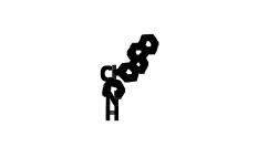 C1=CC=CNC=C1.Clc1ccc2c(c1)-c1ccc3c(c1=CC2)=CCCC3